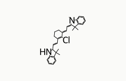 CN1/C(=C/C=C2\CCCC(/C=C/C3Nc4ccccc4C3(C)C)=C2Cl)C(C)(C)c2ccccc21